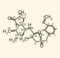 C=Cc1cccc(CS(=O)(=O)CC(C)C(=O)N[C@@H](C[C@H](C)C=C)[C@@H]2C[C@@H](C)C(=O)O2)c1